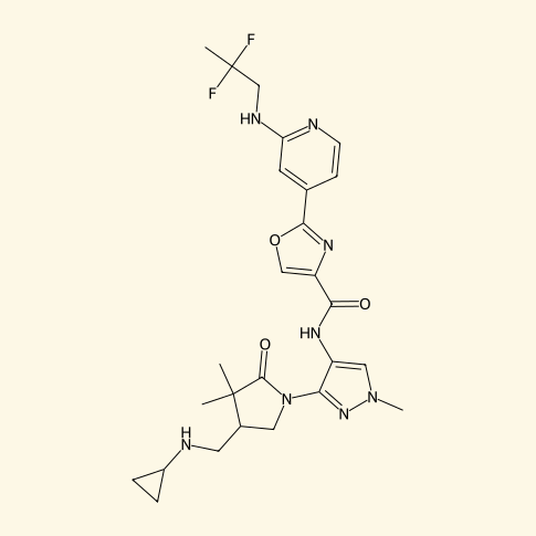 Cn1cc(NC(=O)c2coc(-c3ccnc(NCC(C)(F)F)c3)n2)c(N2CC(CNC3CC3)C(C)(C)C2=O)n1